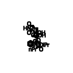 C#C[C@]1(O)[C@H](n2ccc(=O)[nH]c2=O)OC2C(OP(=S)(NC(CCC)C(=O)OC(C)C)Oc3ccccc3)[C@@]21O